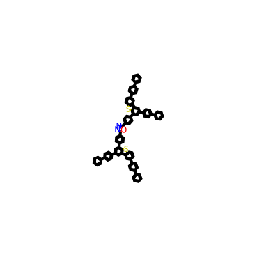 c1ccc(-c2ccc(-c3ccc4sc5c(-c6ccc(-c7nnc(-c8ccc(-c9cc(-c%10ccc(-c%11ccccc%11)cc%10)cc%10c9sc9ccc(-c%11ccc(-c%12ccccc%12)cc%11)cc9%10)cc8)o7)cc6)cc(-c6ccc(-c7ccccc7)cc6)cc5c4c3)cc2)cc1